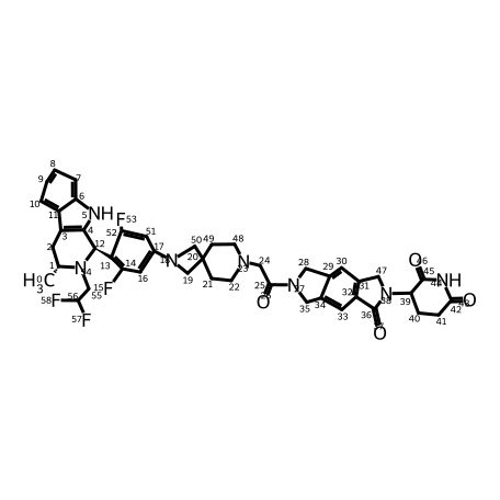 C[C@@H]1Cc2c([nH]c3ccccc23)[C@@H](c2c(F)cc(N3CC4(CCN(CC(=O)N5Cc6cc7c(cc6C5)C(=O)N(C5CCC(=O)NC5=O)C7)CC4)C3)cc2F)N1CC(F)F